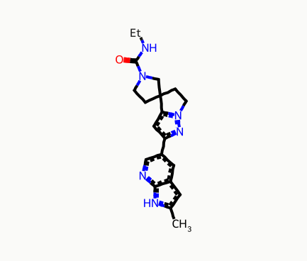 CCNC(=O)N1CCC2(CCn3nc(-c4cnc5[nH]c(C)cc5c4)cc32)C1